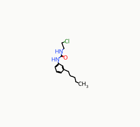 CCCCCc1cccc(NC(=O)NCCCl)c1